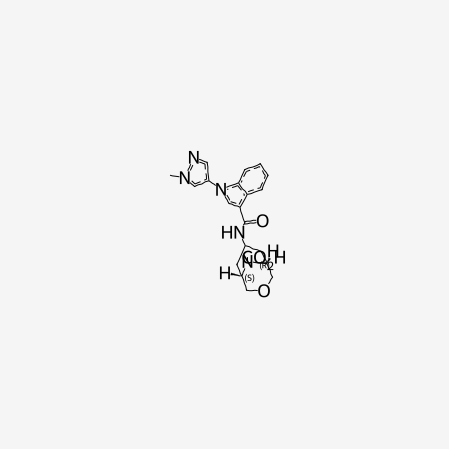 Cn1cc(-n2cc(C(=O)NC3C[C@H]4COC[C@@H](C3)N4C(=O)O)c3ccccc32)cn1